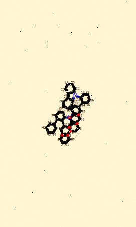 c1ccc(-c2cccc(N(c3ccc(-c4ccccc4-n4c5ccccc5c5ccccc54)cc3)c3cccc(-c4ccccc4)c3-c3ccccc3-c3ccccc3)c2)cc1